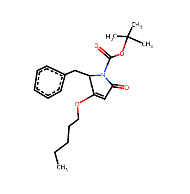 CCCCCOC1=CC(=O)N(C(=O)OC(C)(C)C)C1Cc1ccccc1